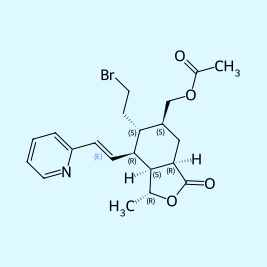 CC(=O)OC[C@H]1C[C@H]2C(=O)O[C@H](C)[C@H]2[C@@H](/C=C/c2ccccn2)[C@@H]1CCBr